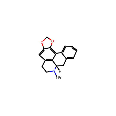 CCCN1CCc2cc3c(c4c2[C@@H]1Cc1ccccc1-4)OCO3